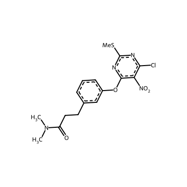 CSc1nc(Cl)c([N+](=O)[O-])c(Oc2cccc(CCC(=O)N(C)C)c2)n1